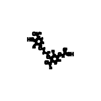 CC(=O)c1ccc(OCCCOc2c(C(C)=O)ccc(OCC(=O)O)c2C)c(C)c1O